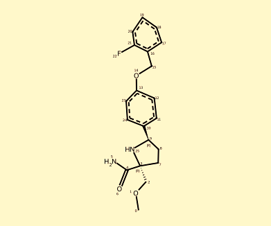 COC[C@@]1(C(N)=O)CC[C@H](c2ccc(OCc3ccccc3F)cc2)N1